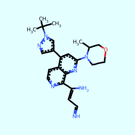 CC1COCCN1c1cc(-c2cnn(C(C)(C)C)c2)c2ccnc(/C(N)=C/C=N)c2n1